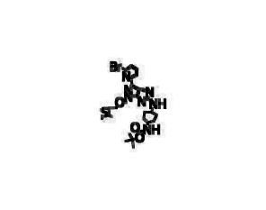 CC(C)(C)OC(=O)NC1CCC(Nc2ncc3c(-c4cccc(Br)n4)nn(COCC[Si](C)(C)C)c3n2)CC1